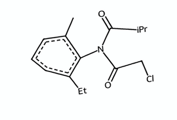 CCc1cccc(C)c1N(C(=O)CCl)C(=O)C(C)C